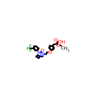 CCOC(Cc1ccc(OCCN(CC2CCC2)C(=O)Nc2cccc(C(F)(F)F)c2)cc1)C(=O)O